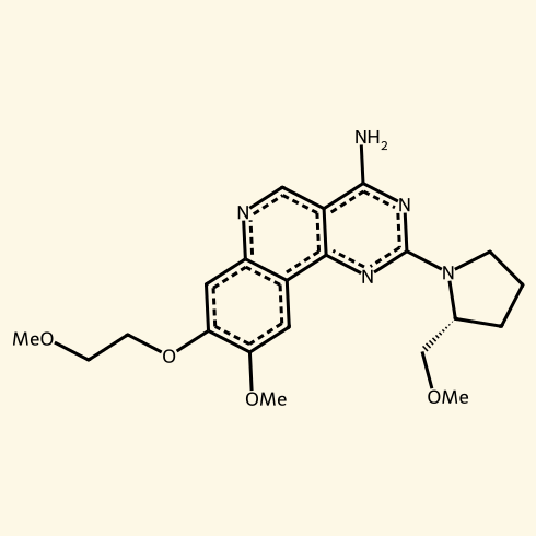 COCCOc1cc2ncc3c(N)nc(N4CCC[C@@H]4COC)nc3c2cc1OC